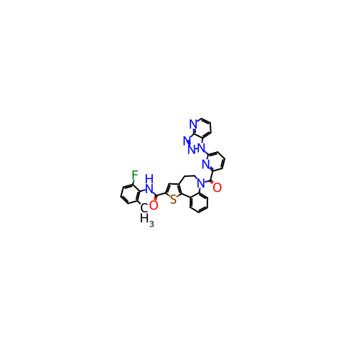 Cc1cccc(F)c1NC(=O)c1cc2c(s1)-c1ccccc1N(C(=O)c1cccc(-n3nnc4ncccc43)n1)CC2